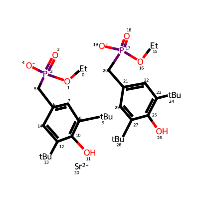 CCOP(=O)([O-])Cc1cc(C(C)(C)C)c(O)c(C(C)(C)C)c1.CCOP(=O)([O-])Cc1cc(C(C)(C)C)c(O)c(C(C)(C)C)c1.[Sr+2]